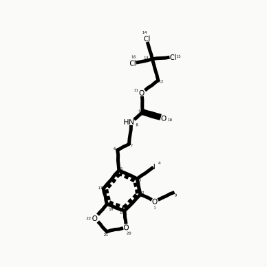 COc1c(I)c(CCNC(=O)OCC(Cl)(Cl)Cl)cc2c1OCO2